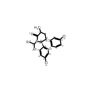 CCC(CC)N1C(=O)C(C)C[C@H](c2cccc(Cl)c2)[C@H]1c1ccc(Cl)cn1